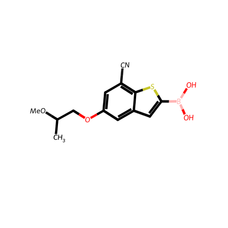 COC(C)COc1cc(C#N)c2sc(B(O)O)cc2c1